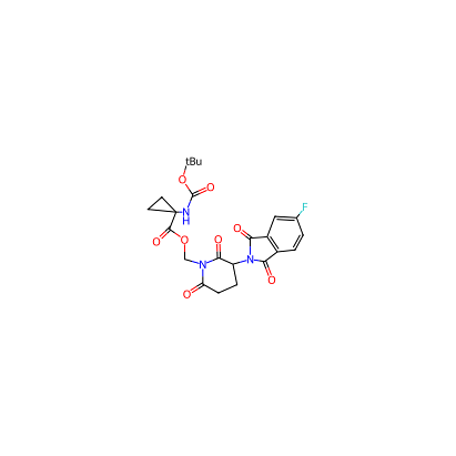 CC(C)(C)OC(=O)NC1(C(=O)OCN2C(=O)CCC(N3C(=O)c4ccc(F)cc4C3=O)C2=O)CC1